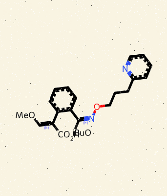 CO/C=C(/C(=O)O)c1ccccc1/C(=N\OCCCc1ccccn1)OCC(C)C